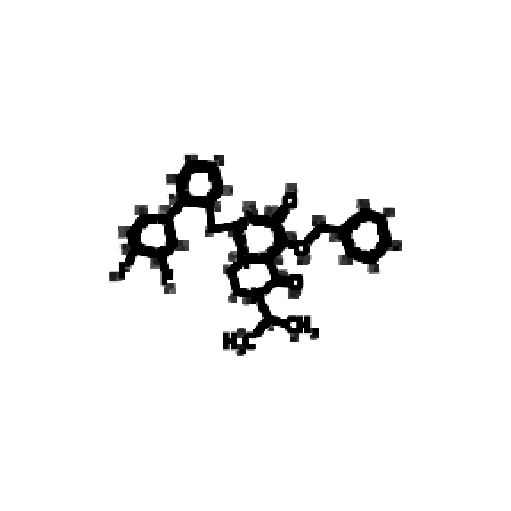 CC(C)N1CCn2c(Cc3ccccc3-c3ccc(F)c(F)c3)nc(=O)c(OCc3ccccc3)c2C1=O